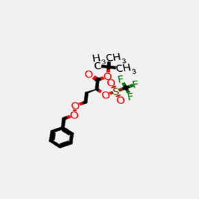 CC(C)(C)OC(=O)[C@H](CCOOCc1ccccc1)OS(=O)(=O)C(F)(F)F